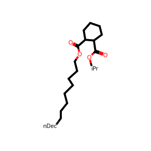 CCCCCCCCCCCCCCCCCCOC(=O)C1CCCCC1C(=O)OC(C)C